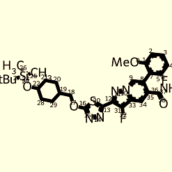 COc1cccc(F)c1-c1cn2nc(-c3nnc(OCC4CCC(O[Si](C)(C)C(C)(C)C)CC4)s3)c(F)c2cc1C(N)=O